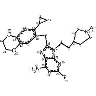 CC(=O)N1CCC(CCn2c(Cc3cc4c(cc3C3CC3)OCCO4)nc3c(N)nc(F)nc32)CC1